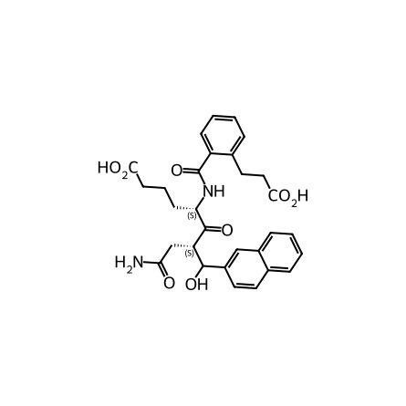 NC(=O)C[C@H](C(=O)[C@H](CCCC(=O)O)NC(=O)c1ccccc1CCC(=O)O)C(O)c1ccc2ccccc2c1